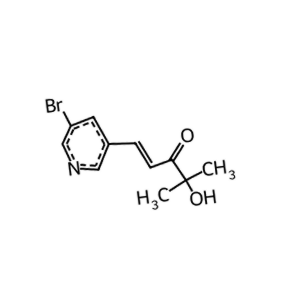 CC(C)(O)C(=O)C=Cc1cncc(Br)c1